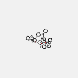 CC[C@@H]1C[C@H]2C[C@H](C)C[C@@H](C1)C21c2ccccc2C2(c3ccccc3-c3ccccc32)c2ccc(N(c3ccccc3)c3cccc(-c4cccc5c4sc4ccccc45)c3)cc21